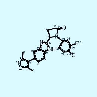 Cc1noc(C)c1-c1ccc2[nH]c(C3CCC(=O)N3c3ccc(Cl)c(F)c3)nc2c1